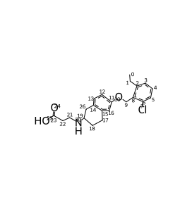 CCc1cccc(Cl)c1COc1ccc2c(c1)CCC(NCCC(=O)O)C2